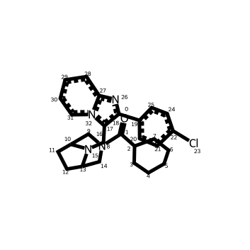 O=C(C1CCCCC1)N1CC2CCC(C1)N2Cc1c(-c2ccc(Cl)cc2)nc2ccccn12